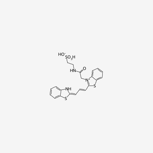 O=C(C[n+]1c(C=CC=C2Nc3ccccc3S2)sc2ccccc21)NCCS(=O)(=O)O.[OH-]